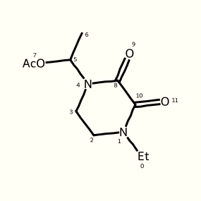 CCN1CCN(C(C)OC(C)=O)C(=O)C1=O